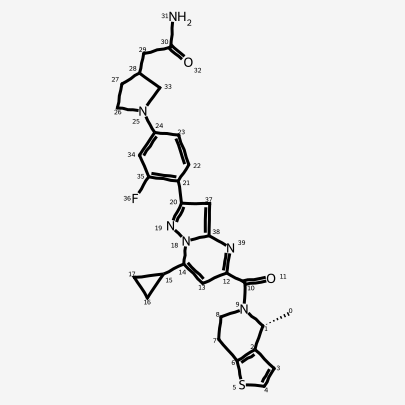 C[C@@H]1c2ccsc2CCN1C(=O)c1cc(C2CC2)n2nc(-c3ccc(N4CCC(CC(N)=O)C4)cc3F)cc2n1